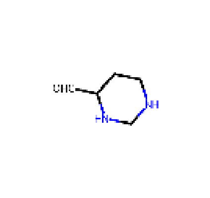 O=[C]C1CCNCN1